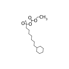 CCOC(=O)OC1(CCCCCCCC2CCCCC2)CO1